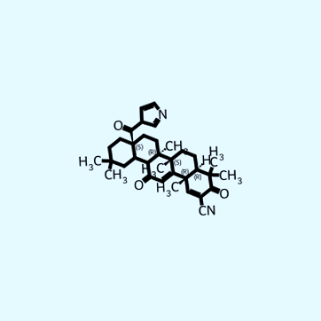 CC1(C)CC[C@]2(C(=O)C3C=CN=C3)CC[C@]3(C)C(C(=O)C=C4[C@@]5(C)C=C(C#N)C(=O)C(C)(C)[C@@H]5CC[C@]43C)C2C1